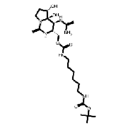 C=C(N)N[C@H]1[C@H](COC(=O)NCCCCCCNC(=O)OC(C)(C)C)NC(=C)N2CC[C@H](O)[C@]12O